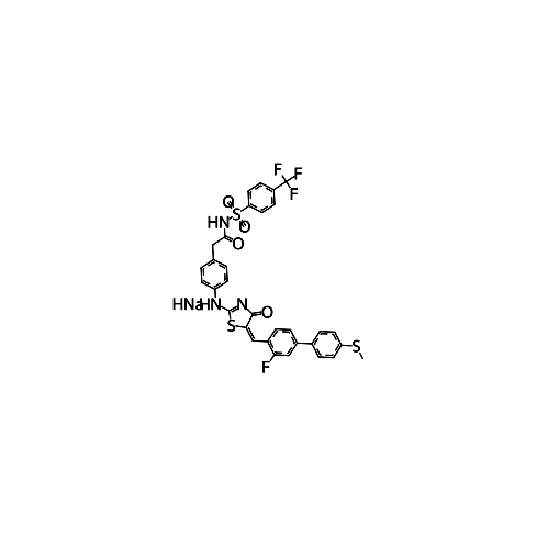 CSc1ccc(-c2ccc(/C=C3/SC(Nc4ccc(CC(=O)NS(=O)(=O)c5ccc(C(F)(F)F)cc5)cc4)=NC3=O)c(F)c2)cc1.[NaH]